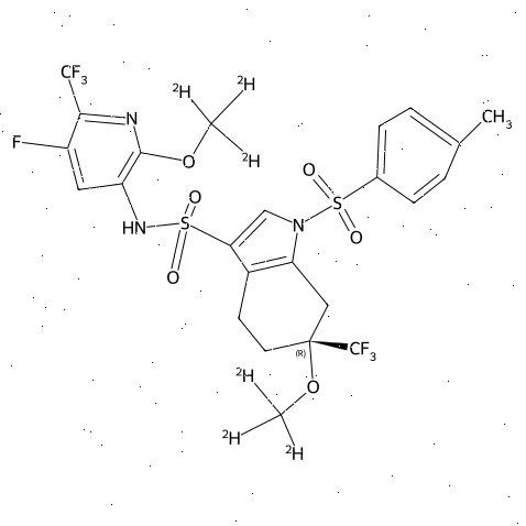 [2H]C([2H])([2H])Oc1nc(C(F)(F)F)c(F)cc1NS(=O)(=O)c1cn(S(=O)(=O)c2ccc(C)cc2)c2c1CC[C@](OC([2H])([2H])[2H])(C(F)(F)F)C2